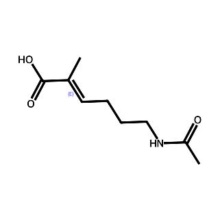 CC(=O)NCCC/C=C(\C)C(=O)O